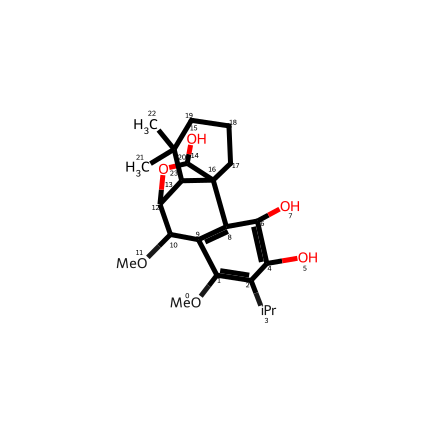 COc1c(C(C)C)c(O)c(O)c2c1C(OC)C1OC(O)C23CCCC(C)(C)C13